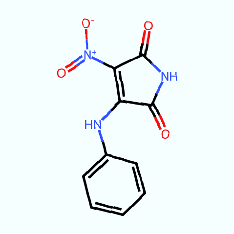 O=C1NC(=O)C([N+](=O)[O-])=C1Nc1ccccc1